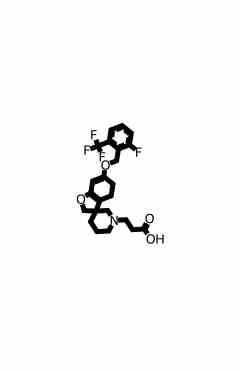 O=C(O)CCN1CCCC2(COC3=C2CCC(OCc2c(F)cccc2C(F)(F)F)=C3)C1